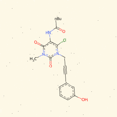 CCCCC(=O)Nc1c(Cl)n(CC#Cc2cccc(O)c2)c(=O)n(C)c1=O